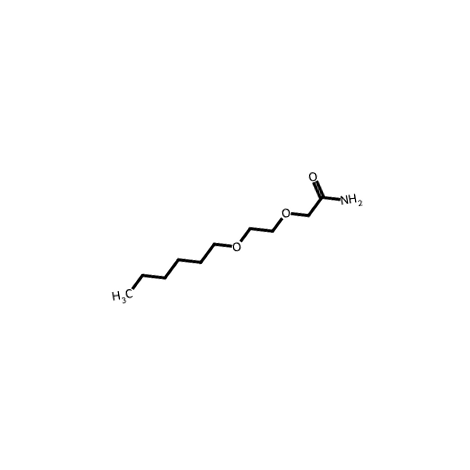 CCCCCCOCCOCC(N)=O